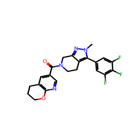 Cn1nc2c(c1-c1cc(F)c(F)c(F)c1)CCN(C(=O)c1cnc3c(c1)CCCO3)C2